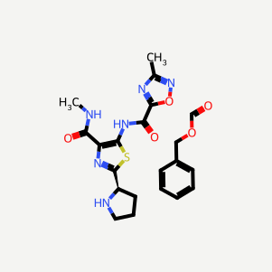 CNC(=O)c1nc([C@H]2CCCN2)sc1NC(=O)c1nc(C)no1.O=COCc1ccccc1